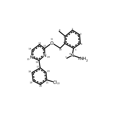 Cc1cccc(N(C)N)c1COc1ccnc(-c2cccc(Cl)c2)n1